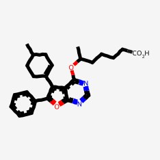 CC1CC=C(c2c(-c3ccccc3)oc3ncnc(OC(C)CCCCC(=O)O)c23)CC1